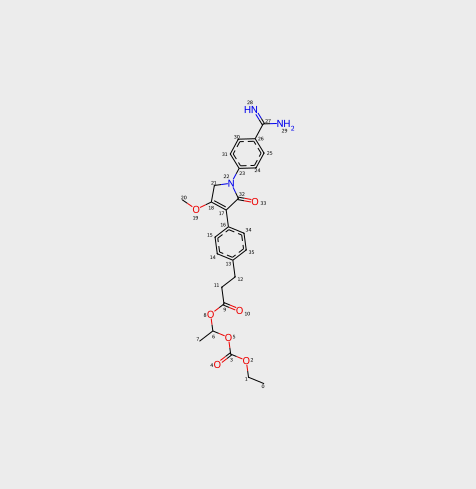 CCOC(=O)OC(C)OC(=O)CCc1ccc(C2=C(OC)CN(c3ccc(C(=N)N)cc3)C2=O)cc1